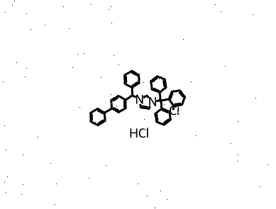 Cl.Clc1ccccc1C(c1ccccc1)(c1ccccc1)N1C=CN(C(c2ccccc2)c2ccc(-c3ccccc3)cc2)C1